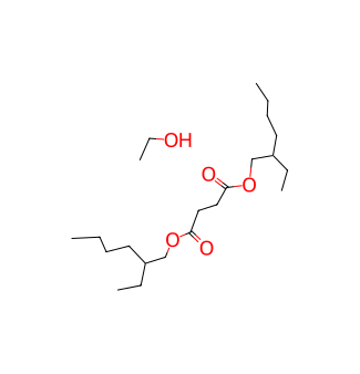 CCCCC(CC)COC(=O)CCC(=O)OCC(CC)CCCC.CCO